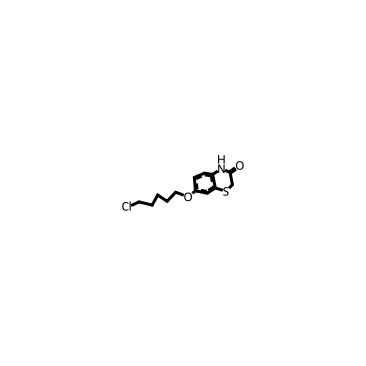 O=C1CSc2cc(OCCCCCCl)ccc2N1